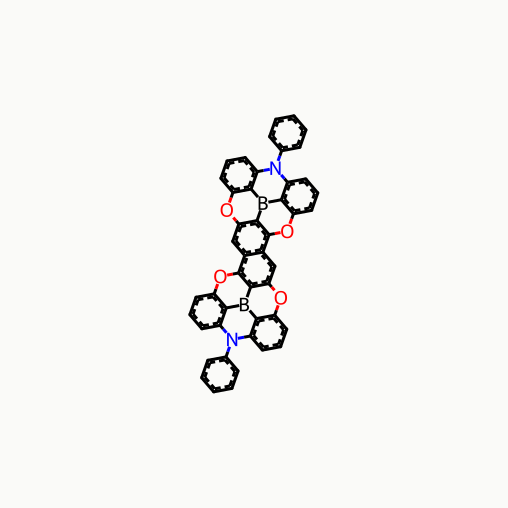 c1ccc(N2c3cccc4c3B3c5c(cccc52)Oc2c3c(cc3c5c6c(cc23)Oc2cccc3c2B6c2c(cccc2N3c2ccccc2)O5)O4)cc1